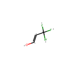 [O]C=CC(F)(F)Br